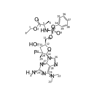 CCOC(=O)[C@@H](C)N[P@@](=O)(OC[C@H]1O[C@@H](n2cnc3c(N(C)C)nc(N)nc32)[C@](C)(F)[C@@H]1O)Oc1ccccc1